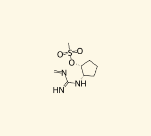 C=NC(=N)N[C@H]1CCC[C@H]1OS(C)(=O)=O